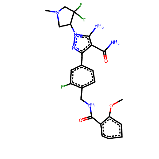 COc1ccccc1C(=O)NCc1ccc(-c2nn(C3CN(C)CC3(F)F)c(N)c2C(N)=O)cc1F